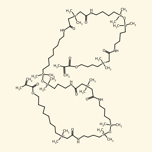 C=C(C)C(=O)OCCCCCCCC[N+](C)(C)CC(=O)NCCCC[Si](C)(C)O[Si](C)(C)CCCCNC(=O)C[N+](C)(C)CC(=O)NCCC[Si](C)(C)O[Si](C)(C)CCCCCCCCNC(=O)C[N+](C)(C)CC(=O)NCCCC[Si](C)(C)O[Si](C)(C)CCCCNC(=O)C[N+](C)(C)CCCCOC(=O)C(=C)C